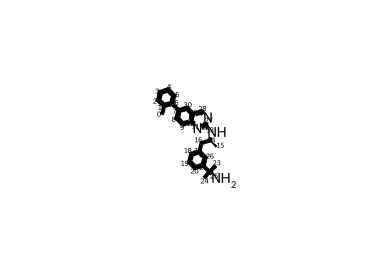 Cc1ccccc1-c1ccc2nc(N[C@@H](C)Cc3cccc(C(C)(C)N)c3)ncc2c1